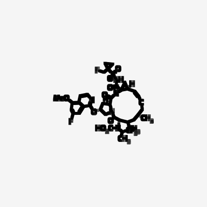 COc1cc(F)cc2c(O[C@@H]3C[C@H]4C(=O)N[C@]5(C(=O)NS(=O)(=O)C6(CF)CC6)C[C@H]5/C=C\CC[C@H](C)C[C@@H](C)[C@H](N(C(=O)O)[C@H](C)C(F)(F)F)C(=O)N4C3)nccc12